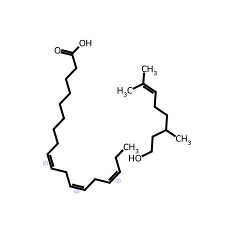 CC(C)=CCCC(C)CCO.CC/C=C\C/C=C\C/C=C\CCCCCCCC(=O)O